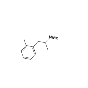 CN[C@H](C)Cc1ccccc1C